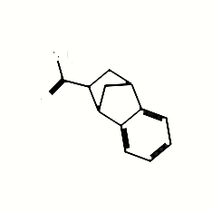 NC(=O)C1CC2CC1c1ccccc12